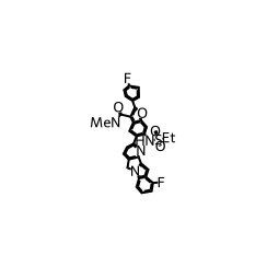 CCS(=O)(=O)Nc1cc2oc(-c3ccc(F)cc3)c(C(=O)NC)c2cc1-c1ccc2c(n1)-c1cc3c(F)cccc3n1C2